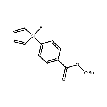 C=C[Si](C=C)(CC)c1ccc(C(=O)OO[CH]C(C)C)cc1